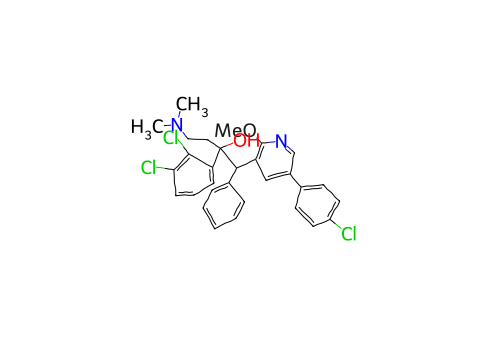 COc1ncc(-c2ccc(Cl)cc2)cc1C(c1ccccc1)C(O)(CCN(C)C)c1cccc(Cl)c1Cl